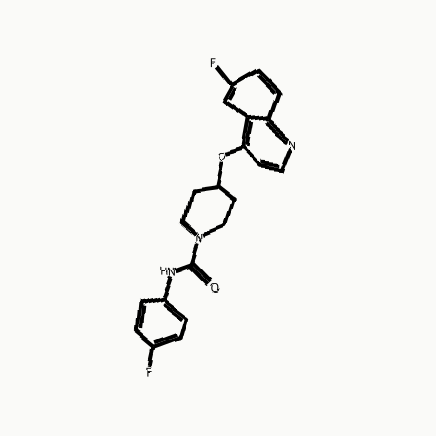 O=C(Nc1ccc(F)cc1)N1CCC(Oc2ccnc3ccc(F)cc23)CC1